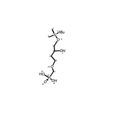 CC(C)(C)[Si](C)(C)OCC(O)CCOCP(=O)(O)O